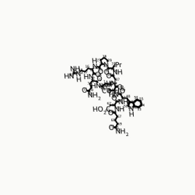 CC(C)CC(NC(=O)C(CCC(N)=O)NC(=O)C(CCCNC(=N)N)NC(=O)C1CCCN1C(=O)C(NC(=O)CNC(=O)C(CC(C)C)NC(=O)C(Cc1c[nH]c2ccccc12)NC(=O)C(CC(=O)O)NC(=O)CCCC(N)=O)C(C)C)C(=O)O